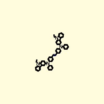 CCn1c2ccccc2c2cc(N(c3ccccc3)c3ccc(/C=C/c4ccc(N(c5ccccc5)c5ccc6c(c5)c5ccccc5n6CC)cc4)cc3)ccc21